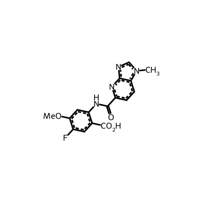 COc1cc(NC(=O)c2ccc3c(ncn3C)n2)c(C(=O)O)cc1F